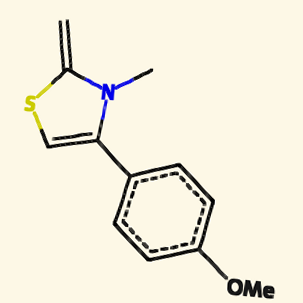 C=C1SC=C(c2ccc(OC)cc2)N1C